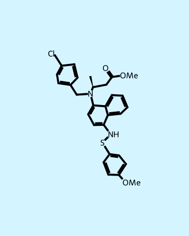 COC(=O)C[C@H](C)N(Cc1ccc(Cl)cc1)c1ccc(NSc2ccc(OC)cc2)c2ccccc12